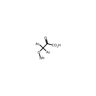 CCCOC(C(C)=O)(C(C)=O)C(=O)C(=O)O